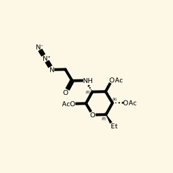 CC[C@H]1OC(OC(C)=O)[C@H](NC(=O)CN=[N+]=[N-])C(OC(C)=O)[C@@H]1OC(C)=O